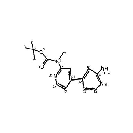 CN(C(=O)OC(C)(C)C)c1cc(-c2ccnc(N)c2)ccn1